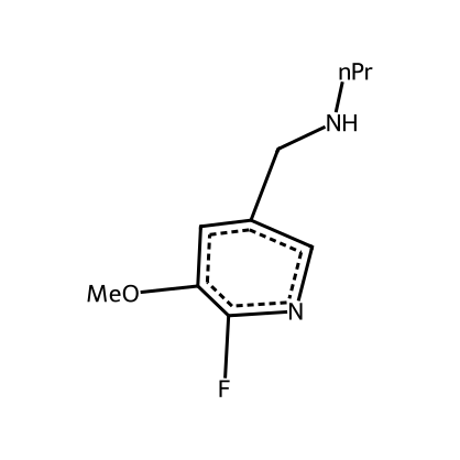 CCCNCc1cnc(F)c(OC)c1